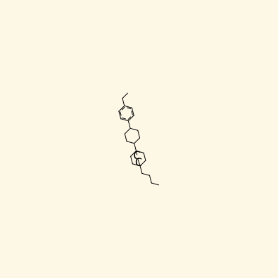 CCCCC12CCC(C3CCC(c4ccc(CC)cc4)CC3)(CC1)CC2